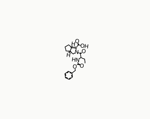 CCC(NC(=O)OCc1ccccc1)C(=O)N1C[C@@H]2CCC[C@@H]2[C@H]1C(=O)O